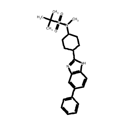 CN(C1CCC(c2nc3cc(-c4ccccc4)ccc3[nH]2)CC1)S(=O)(=O)C(C)(C)C